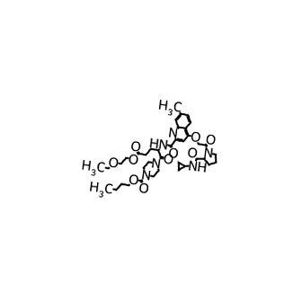 CCCCOC(=O)N1CCN(C(=O)C(CCC(=O)OCCOCC)NC(=O)c2cc(OCC(=O)N3CCCC3C(=O)NC3CC3)c3ccc(C)cc3n2)CC1